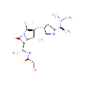 C=C([C@@H]1C[C@H](SC2=C(C(=O)O)N3C(=O)[C@H]([C@@H](C)NC(=O)CO)C3[C@H]2C)CN1)N(C)C